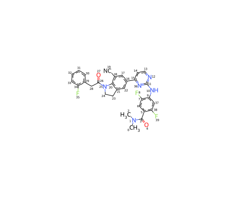 CN(C)C(=O)c1cc(F)c(Nc2nccc(-c3cc(C#N)c4c(c3)CCN4C(=O)Cc3ccccc3F)n2)cc1F